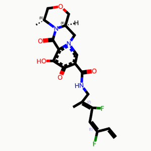 C=C/C(F)=C\C(F)=C(/C)CNC(=O)c1cn2c(c(O)c1=O)C(=O)N1[C@@H](COC[C@H]1C)C2